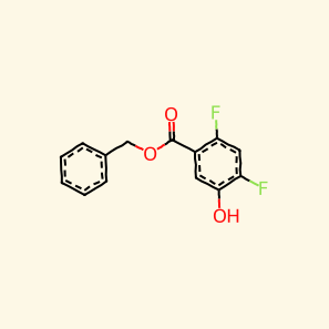 O=C(OCc1ccccc1)c1cc(O)c(F)cc1F